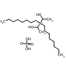 CCCCCCCC[N+](CCCCCCCC)(C(C)O)C(C)O.O=P([O-])(O)O